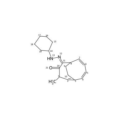 CC1/C=C2/C=C\C=C/C(CC2)/C(=N/NC2CCCCC2)C1=O